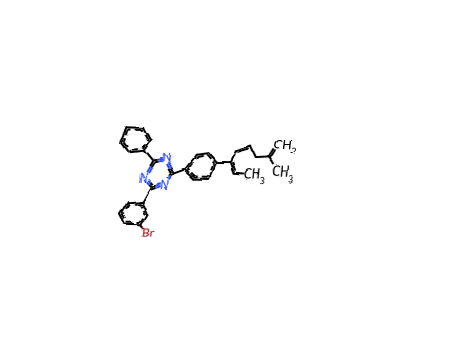 C=C(C)C/C=C\C(=C/C)c1ccc(-c2nc(-c3ccccc3)nc(-c3cccc(Br)c3)n2)cc1